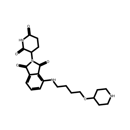 O=C1CCC(N2C(=O)c3cccc(NCCCCOC4CCNCC4)c3C2=O)C(=O)N1